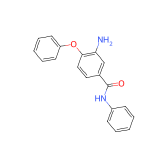 Nc1cc(C(=O)Nc2ccccc2)ccc1Oc1ccccc1